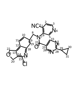 N#Cc1ccncc1N(Cc1ccc2c3c(c(Cl)nc2c1)COC3)C(=O)c1cnc(C2CC2)nc1